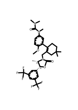 COc1ccc(N(C)C(=O)N(C)C)cc1C1=C(CN2C(=O)O[C@H](c3cc(C(F)(F)F)cc(C(F)(F)F)c3)[C@@H]2C)CC(C)(C)CC1